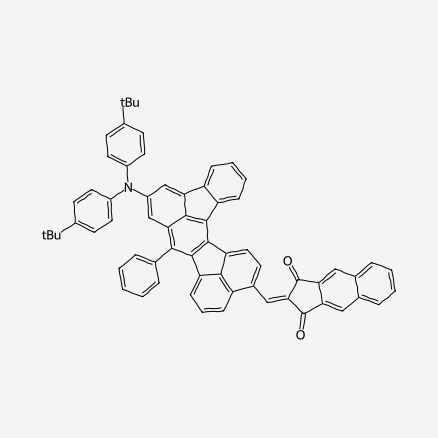 CC(C)(C)c1ccc(N(c2ccc(C(C)(C)C)cc2)c2cc3c(-c4ccccc4)c4c5cccc6c(C=C7C(=O)c8cc9ccccc9cc8C7=O)ccc(c65)c4c4c5ccccc5c(c2)c34)cc1